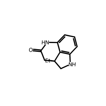 CCC12CNc3cccc(c31)NC(=O)C2